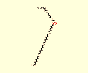 CCCCCCCCC=CCCCCCCCCCC(=O)OCCCCCCCCCCCCCCCCCCCCCCCCCCCCCC(C)C